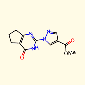 COC(=O)c1cnn(-c2nc3c(c(=O)[nH]2)CCC3)c1